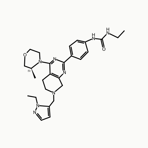 CCNC(=O)Nc1ccc(-c2nc3c(c(N4CCOC[C@@H]4C)n2)CCN(Cc2ccnn2CC)C3)cc1